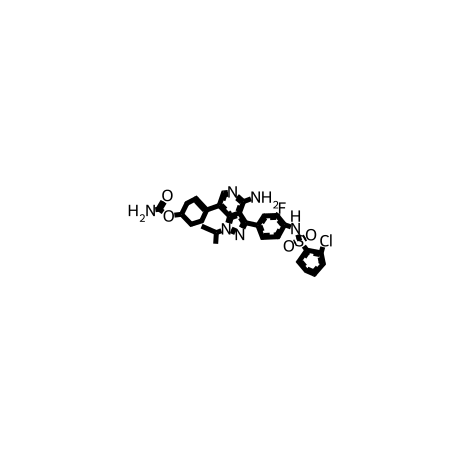 CC(C)n1nc(-c2ccc(NS(=O)(=O)c3ccccc3Cl)c(F)c2)c2c(N)ncc(C3=CCC(OC(N)=O)CC3)c21